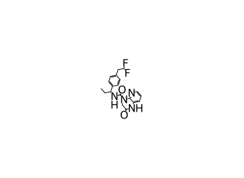 CCC(NC(=O)N1CC(=O)Nc2cccnc21)c1ccc(CC(F)F)cc1